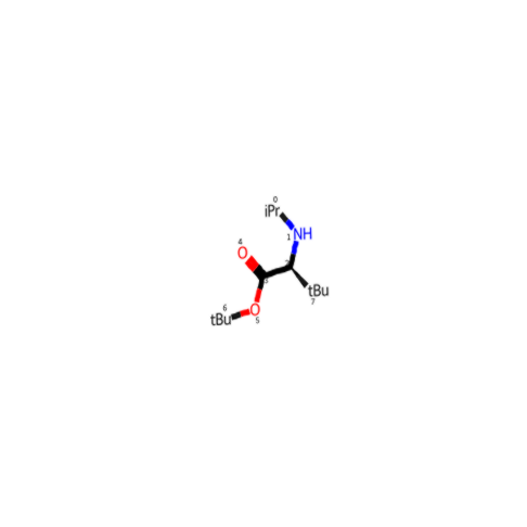 CC(C)N[C@H](C(=O)OC(C)(C)C)C(C)(C)C